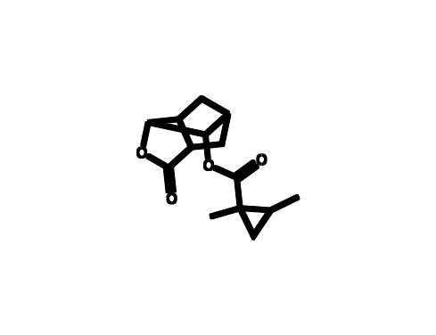 CC1CC1(C)C(=O)OC1C2CC3C(=O)OC1C3C2